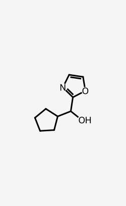 OC(c1ncco1)C1CCCC1